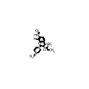 CCC(=O)N[C@@H](C(=O)N1CCN(C)CC1)[C@@H](C)c1ccc(NC=O)c(F)c1